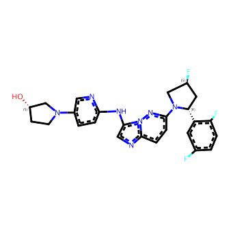 O[C@H]1CCN(c2ccc(Nc3cnc4ccc(N5C[C@@H](F)C[C@@H]5c5cc(F)ccc5F)nn34)nc2)C1